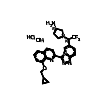 Cl.Cl.N[C@H]1CCN([C@H](c2ccc3nnc(-c4ccc5cccc(OCC6CC6)c5n4)n3c2)C(F)(F)F)C1